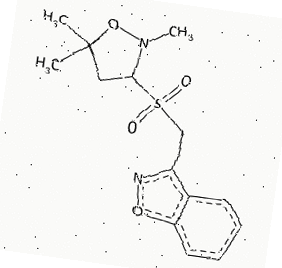 CN1OC(C)(C)CC1S(=O)(=O)Cc1noc2ccccc12